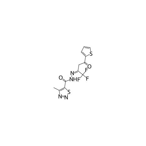 Cc1nnsc1C(=O)NN=C(CC(=O)c1cccs1)C(F)(F)F